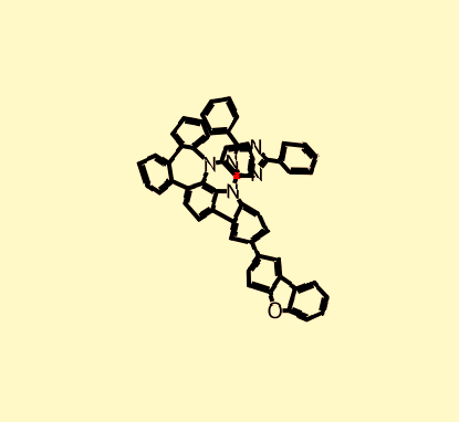 c1ccc(-c2nc(-c3ccccc3)nc(-n3c4ccc(-c5ccc6oc7ccccc7c6c5)cc4c4ccc5c(c43)N(c3ccccc3)c3ccccc3-c3ccccc3-5)n2)cc1